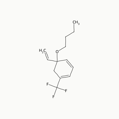 C=CC1(OCCCC)C=CC=C(C(F)(F)F)C1